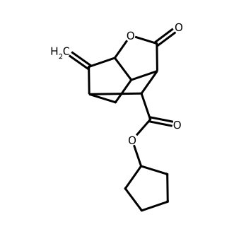 C=C1C2CC3C1OC(=O)C3C2C(=O)OC1CCCC1